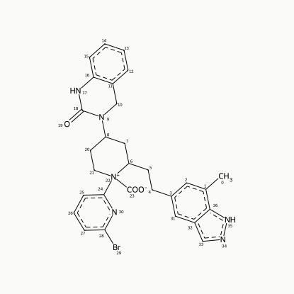 Cc1cc(CCC2CC(N3Cc4ccccc4NC3=O)CC[N+]2(C(=O)[O-])c2cccc(Br)n2)cc2cn[nH]c12